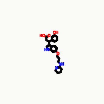 O=C(O)CC(c1cccc(O)c1)c1c[nH]c2cc(OCCCNC3=NCCCC3)ccc12